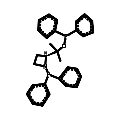 CC(C)(OP(c1ccccc1)c1ccccc1)[C@@H]1CCN1P(c1ccccc1)c1ccccc1